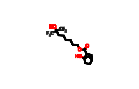 O=C(OCCCCCCC(O)(C(F)(F)F)C(F)(F)F)C1CC2CCC1(O)C2